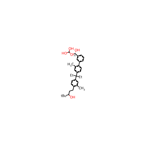 CCC(CC)(c1ccc(CCC(O)C(C)(C)C)c(C)c1)c1ccc(-c2cccc([C@@H](O)OC(O)O)c2)c(C)c1